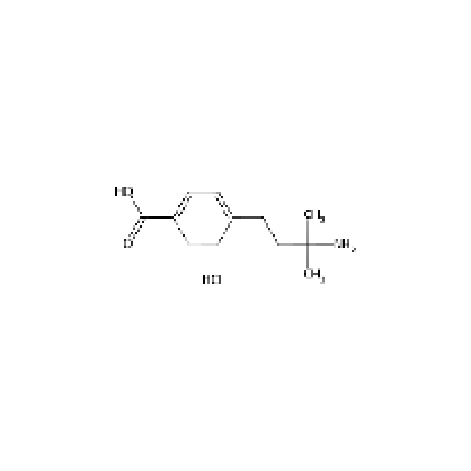 CC(C)(N)CCc1ccc(C(=O)O)cc1.Cl